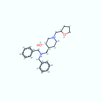 O[C@@H]1CN(CC2CCCO2)CC[C@H]1CN(Cc1ccccc1)Cc1ccccc1